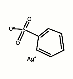 O=S(=O)([O-])c1ccccc1.[Ag+]